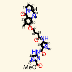 COC(=O)c1nc(NC(=O)c2cc(NC(=O)CCCOc3cc4c(cc3C)C(=O)N3CCC[C@H]3C=N4)cn2C)cn1C